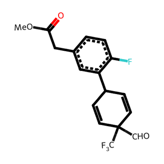 COC(=O)Cc1ccc(F)c(C2C=CC(C=O)(C(F)(F)F)C=C2)c1